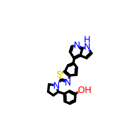 Oc1cccc(C2CCCN2c2nc3ccc(-c4ccnc5[nH]ccc45)cc3s2)c1